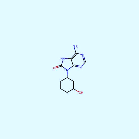 Nc1ncnc2c1[nH]c(=O)n2C1CCCC(O)C1